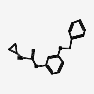 O=C(NC1CC1)Oc1cccc(OCc2ccccc2)c1